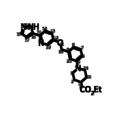 CCOC(=O)C1CCN(c2cccc(COc3ccc(-c4ccn[nH]4)nc3)c2)CC1